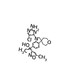 Cc1cc([C@](C)(O)c2ccc3c(c2)N(c2nc(N)ncc2Cl)CC32CCOCC2)no1